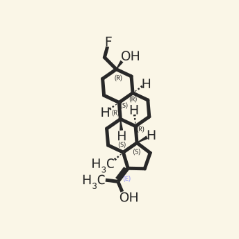 C/C(O)=C1/CC[C@H]2[C@@H]3CC[C@@H]4C[C@@](O)(CF)CC[C@@H]4[C@H]3CC[C@]12C